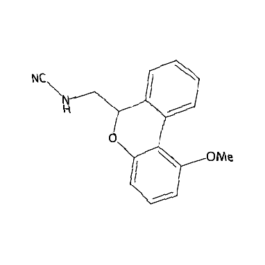 COc1cccc2c1-c1ccccc1C(CNC#N)O2